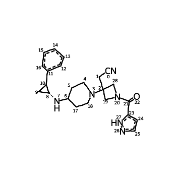 N#CCC1(N2CCC(N[C@@H]3CC3c3ccccc3)CC2)CN(C(=O)c2ccn[nH]2)C1